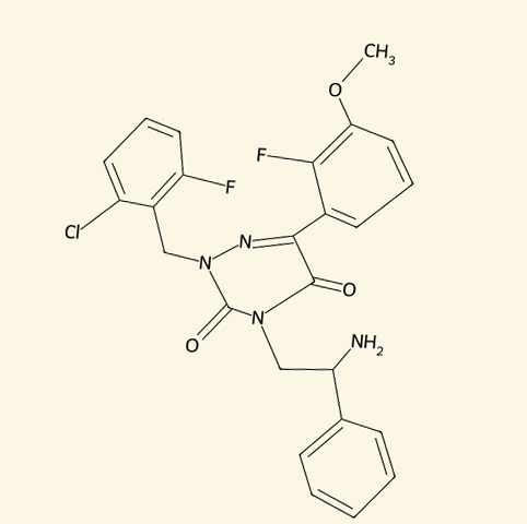 COc1cccc(-c2nn(Cc3c(F)cccc3Cl)c(=O)n(CC(N)c3ccccc3)c2=O)c1F